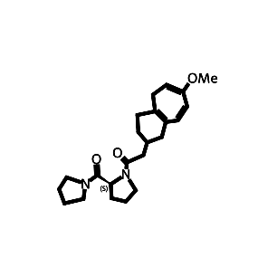 COC1=CCC2=C(C=C1)CC(CC(=O)N1CCC[C@H]1C(=O)N1CCCC1)CC2